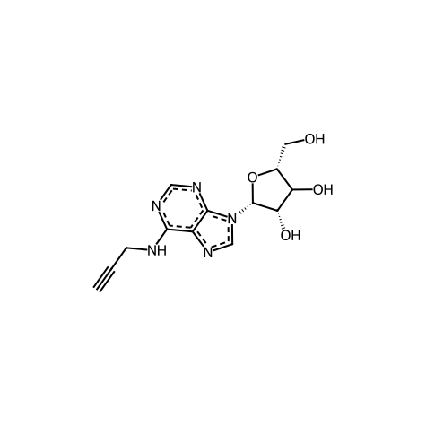 C#CCNc1ncnc2c1ncn2[C@@H]1O[C@H](CO)C(O)[C@@H]1O